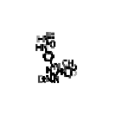 CCNC(=O)Nc1ccc(-c2nc(N3CCOC[C@@H]3C)c3ncn(CC)c3n2)cc1